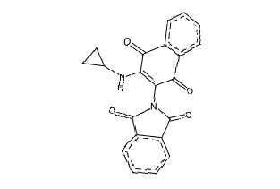 O=C1C(NC2CC2)=C(N2C(=O)c3ccccc3C2=O)C(=O)c2ccccc21